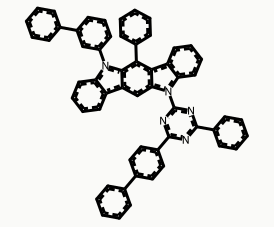 c1ccc(-c2ccc(-c3nc(-c4ccccc4)nc(-n4c5ccccc5c5c(-c6ccccc6)c6c(cc54)c4ccccc4n6-c4cccc(-c5ccccc5)c4)n3)cc2)cc1